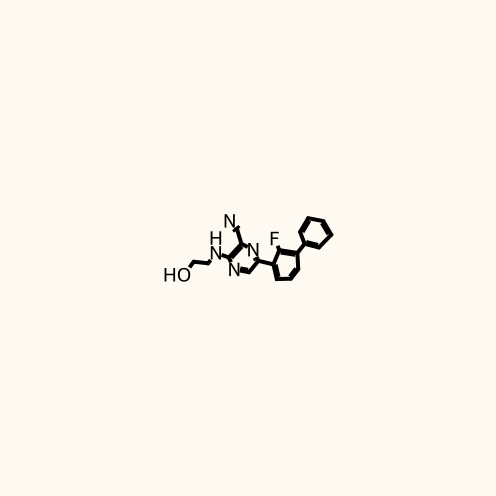 N#Cc1nc(-c2cccc(-c3ccccc3)c2F)cnc1NCCO